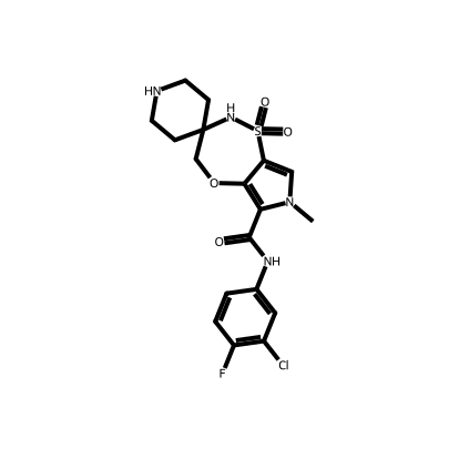 Cn1cc2c(c1C(=O)Nc1ccc(F)c(Cl)c1)OCC1(CCNCC1)NS2(=O)=O